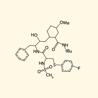 COC1CCC(CC(O)C(Cc2ccccc2)NC(=O)C(CSc2ccc(F)cc2)NS(C)(=O)=O)C(C(=O)NC(C)(C)C)C1